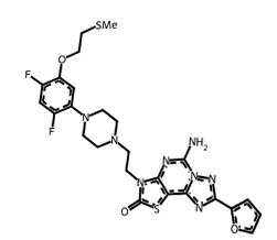 CSCCOc1cc(N2CCN(CCn3c(=O)sc4c3nc(N)n3nc(-c5ccco5)nc43)CC2)c(F)cc1F